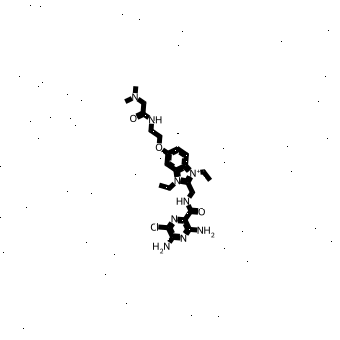 CCn1c(CNC(=O)c2nc(Cl)c(N)nc2N)[n+](CC)c2ccc(OCCNC(=O)CN(C)C)cc21